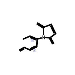 C=C/C=C\C(=C/C)n1c(=C)ccc1=C